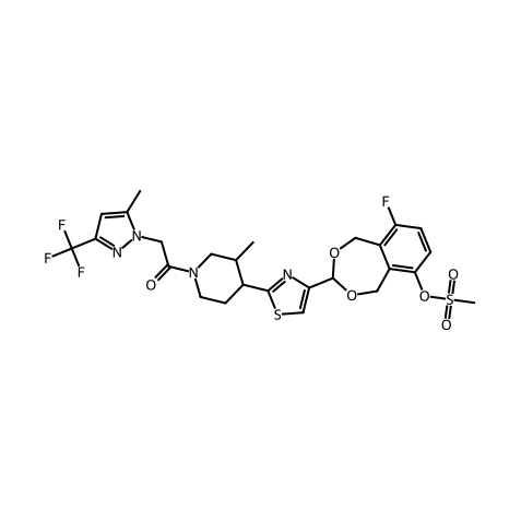 Cc1cc(C(F)(F)F)nn1CC(=O)N1CCC(c2nc(C3OCc4c(F)ccc(OS(C)(=O)=O)c4CO3)cs2)C(C)C1